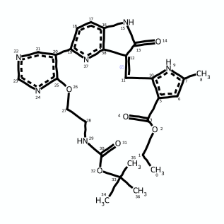 CCOC(=O)c1cc(C)[nH]c1/C=C1\C(=O)Nc2ccc(-c3cncnc3OCCNC(=O)OC(C)(C)C)nc21